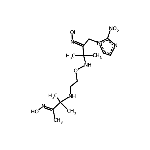 C/C(=N\O)C(C)(C)NCCONC(C)(C)/C(Cn1ccnc1[N+](=O)[O-])=N/O